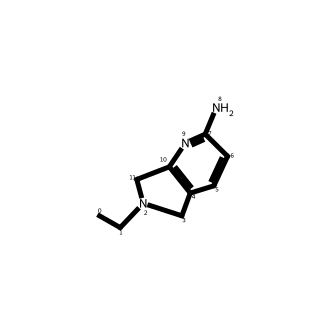 CCN1Cc2ccc(N)nc2C1